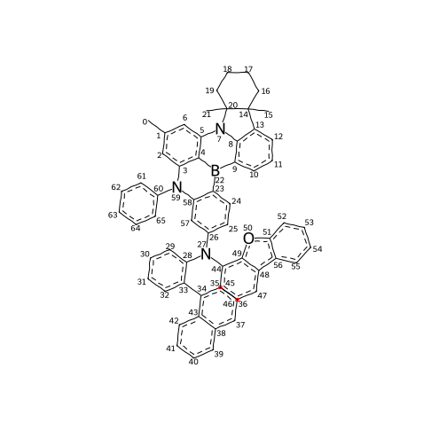 Cc1cc2c3c(c1)N1c4c(cccc4C4(C)CCCCC14C)B3c1ccc(N(c3ccccc3-c3cccc4ccccc34)c3cccc4c3oc3ccccc34)cc1N2c1ccccc1